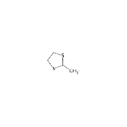 [CH2]C1SCCS1